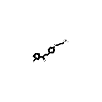 CCCCSc1ccc(C=CC(=O)c2cccc(I)c2)cc1